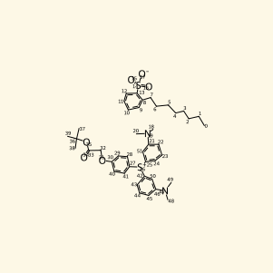 CCCCCCCCc1ccccc1S(=O)(=O)[O-].CN(C)c1cccc([S+](c2ccc(OCC(=O)OC(C)(C)C)cc2)c2cccc(N(C)C)c2)c1